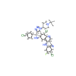 CC(C)(C)N1CCC(n2cc(C(Nc3cc(Cl)c4ncc(C#N)c(Nc5ccc(Cl)c(F)c5)c4c3)c3ccc(Cl)cc3)nn2)CC1